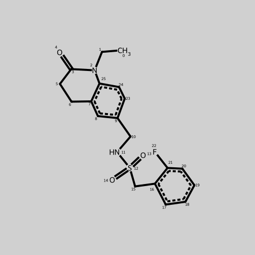 CCN1C(=O)CCc2cc(CNS(=O)(=O)Cc3ccccc3F)ccc21